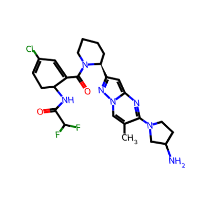 Cc1cn2nc([C@@H]3CCCCN3C(=O)C3=CC(Cl)=CCC3NC(=O)C(F)F)cc2nc1N1CCC(N)C1